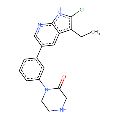 CCc1c(Cl)[nH]c2ncc(-c3cccc(N4CCNCC4=O)c3)cc12